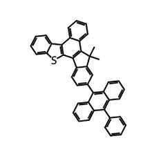 CC1(C)c2cc(-c3c4ccccc4c(-c4ccccc4)c4ccccc34)ccc2-c2c1c1ccccc1c1c2sc2ccccc21